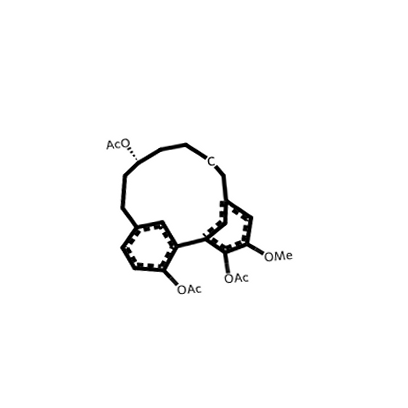 COc1cc2cc(c1OC(C)=O)-c1cc(ccc1OC(C)=O)CC[C@H](OC(C)=O)CCCC2